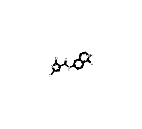 O=C(Nc1ccc2c(=O)[nH]ccc2c1)c1cc(Cl)sc1Cl